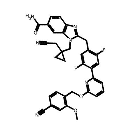 COc1cc(C#N)ccc1COc1cccc(-c2cc(F)c(Cc3nc4ccc(C(N)=O)cc4n3CC3(CC#N)CC3)cc2F)n1